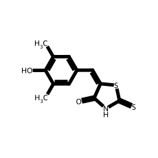 Cc1cc(C=C2SC(=S)NC2=O)cc(C)c1O